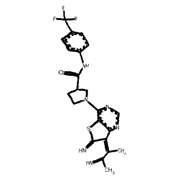 CC(=N)/C(C)=C1\C(=N)Sc2c1ncnc2N1CCC(C(=O)Nc2ccc(C(F)(F)F)cc2)C1